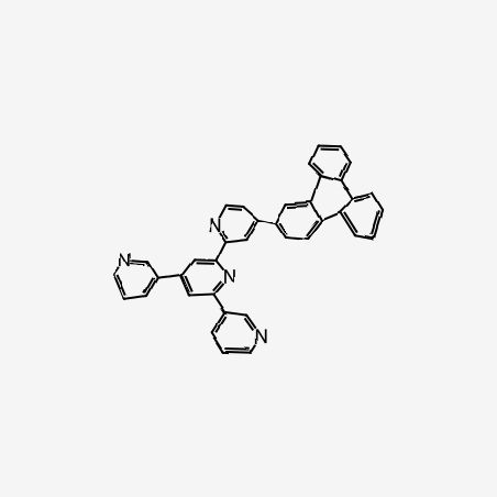 c1cncc(-c2cc(-c3cccnc3)nc(-c3cc(-c4ccc5c6ccccc6c6ccccc6c5c4)ccn3)c2)c1